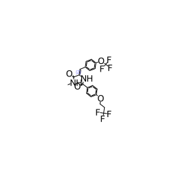 CNC(=O)/C(=C/c1ccc(OC(F)(F)F)cc1)NC(=O)c1ccc(OCCC(F)(F)F)cc1